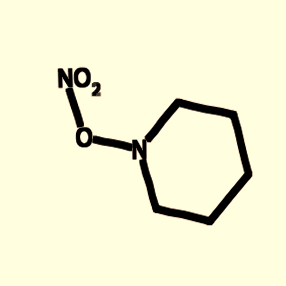 O=[N+]([O-])ON1CCCCC1